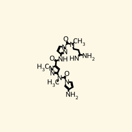 CN(CCC(=N)N)C(=O)n1ccc(NC(=O)c2cc(N(C)C(=O)n3ccc(N)c3)nn2C)n1